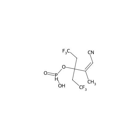 CC(=CC#N)C(CC(F)(F)F)(CC(F)(F)F)O[PH](=O)O